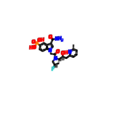 Cc1cccc(C[C@H](O)[C@@H]2C[C@@H](F)CN2C(=O)Cn2cc(C(N)=O)c3cc(P(=O)(O)O)ccc32)n1